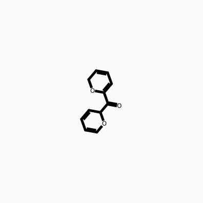 O=C(C1=CC=CCO1)C1C=CC=CO1